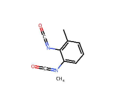 C.Cc1cccc(N=C=O)c1N=C=O